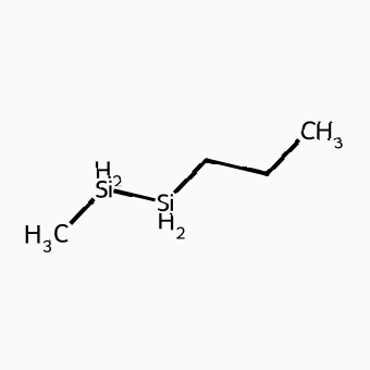 CCC[SiH2][SiH2]C